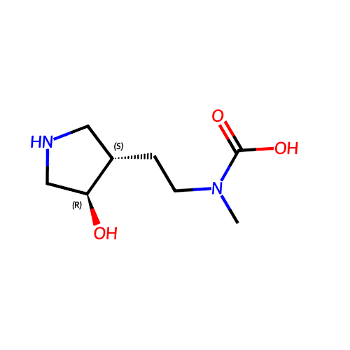 CN(CC[C@H]1CNC[C@@H]1O)C(=O)O